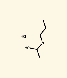 CCCNC(C)O.Cl